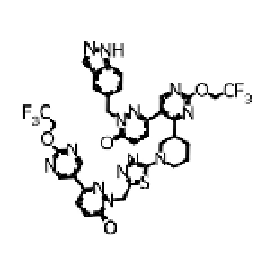 O=c1ccc(-c2cnc(OCC(F)(F)F)nc2)nn1Cc1nnc(N2CCCC(c3nc(OCC(F)(F)F)ncc3-c3ccc(=O)n(Cc4ccc5[nH]ncc5c4)n3)C2)s1